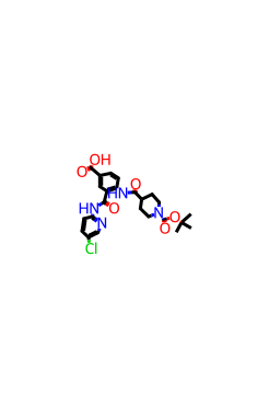 CC(C)(C)OC(=O)N1CCC(C(=O)Nc2ccc(C(=O)O)cc2C(=O)Nc2ccc(Cl)cn2)CC1